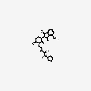 C=C1c2c(N)cccc2C(=O)C1C1CCC(=O)N(CCNC(=O)[C@H](I)C2CCCC2)C1=O